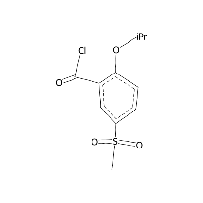 CC(C)Oc1ccc(S(C)(=O)=O)cc1C(=O)Cl